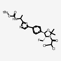 CC(NC(=O)OC(C)(C)C)c1ncc(-c2ccc([C@H]3OC(C)(C)N(C(=O)C(Cl)Cl)[C@@H]3CF)cc2)s1